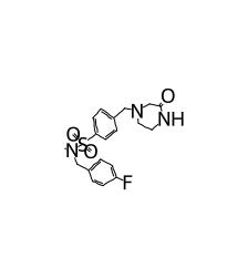 CN(Cc1ccc(F)cc1)S(=O)(=O)c1ccc(CN2CCNC(=O)C2)cc1